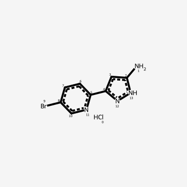 Cl.Nc1cc(-c2ccc(Br)cn2)n[nH]1